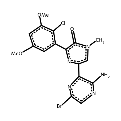 COc1cc(OC)c(Cl)c(-c2nc(-c3nc(Br)cnc3N)cn(C)c2=O)c1